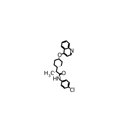 C[C@@H](C(=O)Nc1ccc(Cl)cc1)[C@H]1CC[C@@H](Oc2ccnc3ccccc23)CC1